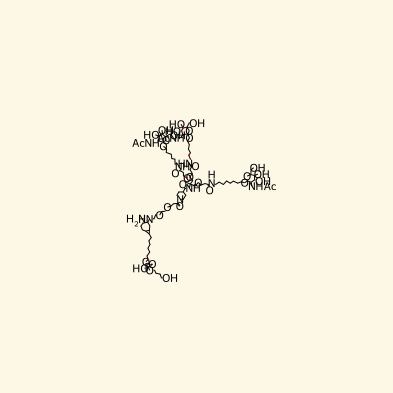 CC(=O)NC1C(OCCCCCCCCNC(=O)CCOCC(COCCC(=O)NCCCCCCOC2OC(CO)C(O)C(O)C2NC(C)=O)(COCCC(=O)NCCCCCCOC2OC(CO)C(O)C(O)C2NC(C)=O)NC(=O)C2CCN(C(=O)CCOCCOCCNC3CC4C(CCCCCCCOP(=O)(O)OCCCCO)C4CCC3N)CC2)OC(CO)C(O)C1O